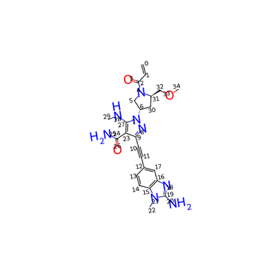 C=CC(=O)N1C[C@@H](n2nc(C#Cc3ccc4c(c3)nc(N)n4C)c(C(N)=O)c2NC)C[C@@H]1COC